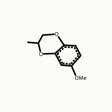 [CH2]C1COc2ccc(OC)cc2O1